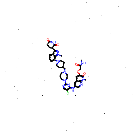 CNC(=O)COc1cc2cc(Nc3nc(N4CCCN(CC5CCN(c6cccc7c(C8CCC(=O)NC8=O)nn(C)c67)CC5)CC4)ncc3Cl)cnc2n(C)c1=O